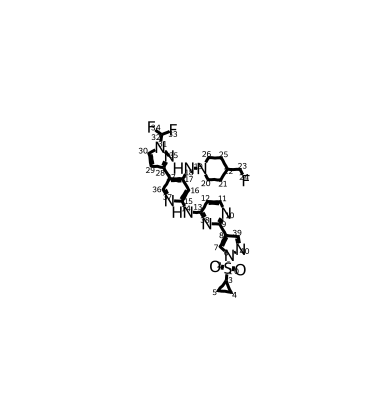 O=S(=O)(C1CC1)n1cc(-c2nccc(Nc3cc(NN4CCC(CF)CC4)c(-c4ccn(C(F)F)n4)cn3)n2)cn1